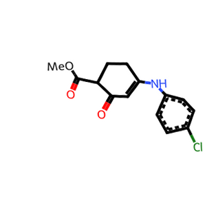 COC(=O)C1CCC(Nc2ccc(Cl)cc2)=CC1=O